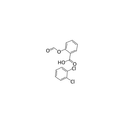 Clc1ccccc1Cl.O=COc1ccccc1C(=O)O